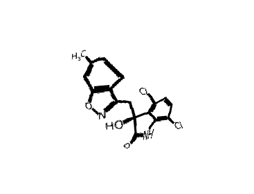 Cc1ccc2c(CC3(O)C(=O)Nc4c(Cl)ccc(Cl)c43)noc2c1